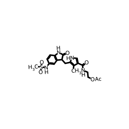 CC(=O)OCCNC(=O)c1c[nH]c(CC2C(=O)Nc3ccc(NS(C)(=O)=O)cc32)c1C